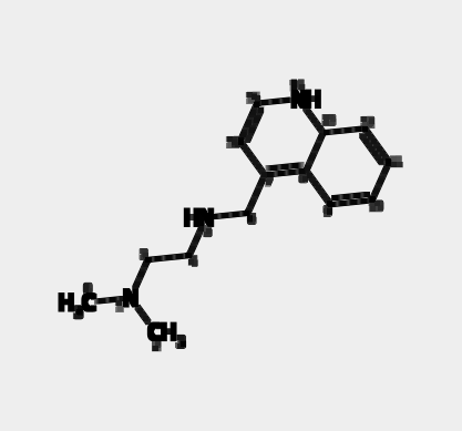 CN(C)CCNCC1=C2C=CC=CC2NC=C1